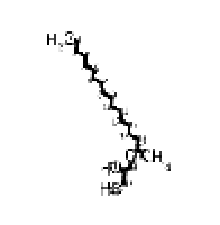 CCCCCCCCCCCCCCCCC(C)OCC(O)CO